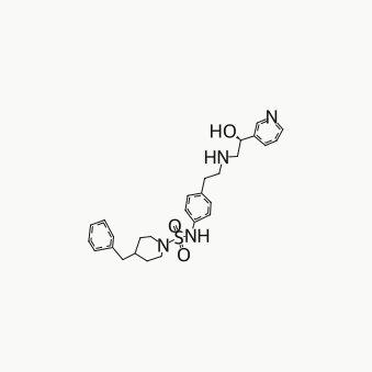 O=S(=O)(Nc1ccc(CCNC[C@@H](O)c2cccnc2)cc1)N1CCC(Cc2ccccc2)CC1